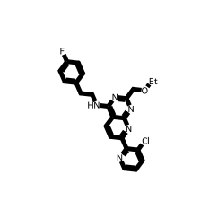 CCOCc1nc(NCCc2ccc(F)cc2)c2ccc(-c3ncccc3Cl)nc2n1